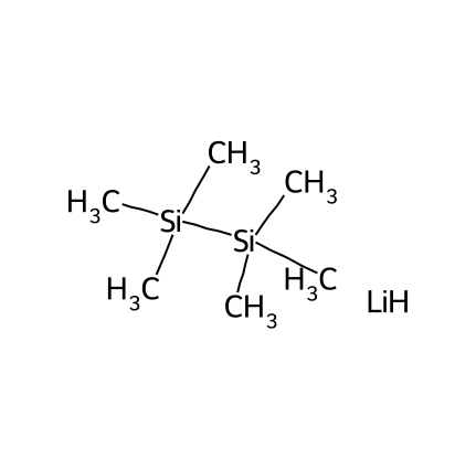 C[Si](C)(C)[Si](C)(C)C.[LiH]